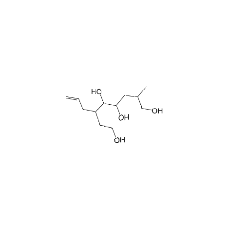 C=CCC(CCO)C(O)C(O)CC(C)CO